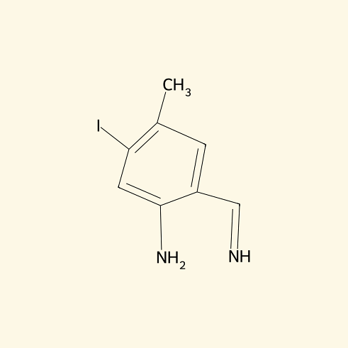 Cc1cc(C=N)c(N)cc1I